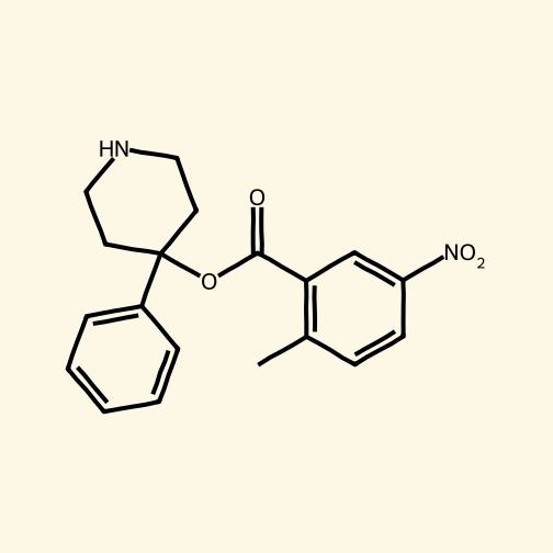 Cc1ccc([N+](=O)[O-])cc1C(=O)OC1(c2ccccc2)CCNCC1